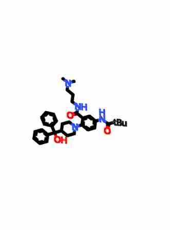 CN(C)CCCNC(=O)c1cc(NC(=O)C(C)(C)C)ccc1N1CCC(C(O)(c2ccccc2)c2ccccc2)CC1